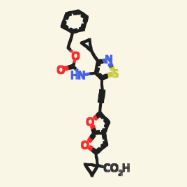 O=C(Nc1c(C2CC2)nsc1C#Cc1cc2cc(C3(C(=O)O)CC3)oc2o1)OCc1ccccc1